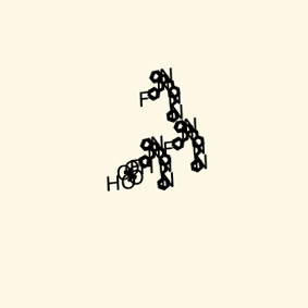 Fc1ccc(Cn2c(CC3CCN(CCc4ccccn4)CC3)nc3ccccc32)cc1.Fc1ccc(Cn2c(CC3CCN(CCc4ccccn4)CC3)nc3ccccc32)cc1.Fc1ccc(Cn2c(CC3CCN(CCc4ccccn4)CC3)nc3ccccc32)cc1.O=C(O)C(=O)O